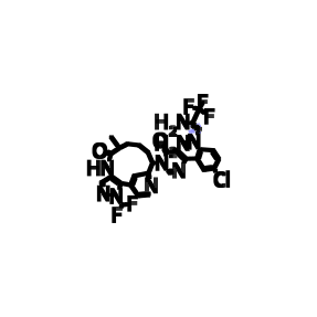 CC1CCCC(n2cnc(-c3cc(Cl)ccc3N(N)/C=C(\N)C(F)(F)F)cc2=O)c2cc(ccn2)-c2c(cnn2C(F)F)NC1=O